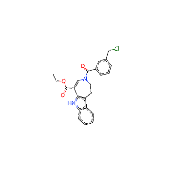 CCOC(=O)C1=CN(C(=O)c2cccc(CCl)c2)CCc2c1[nH]c1ccccc21